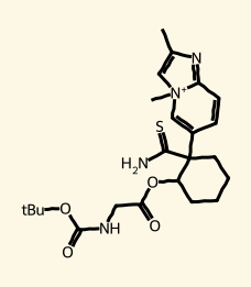 CC1=C[N+]2(C)C=C(C3(C(N)=S)CCCCC3OC(=O)CNC(=O)OC(C)(C)C)C=CC2=N1